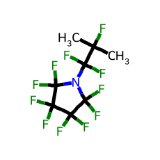 CC(C)(F)C(F)(F)N1C(F)(F)C(F)(F)C(F)(F)C1(F)F